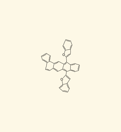 c1ccc2oc(-c3c4ccccc4c(-c4cc5ccccc5o4)c4cc5c(ccc6ccccc65)cc34)cc2c1